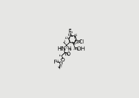 [2H][C@@](C)(NC(=O)COC(F)F)c1cc(F)cc(Cl)c1CO